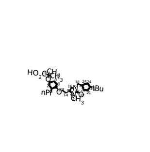 CCCc1cc(OC(C)(C)C(=O)O)ccc1OCC[C@H]1CN(Cc2ccc(C(C)(C)C)cc2)C(=O)N1C